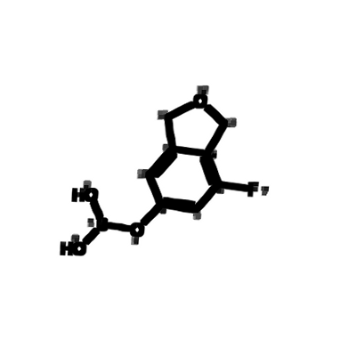 OB(O)Oc1cc(F)c2c(c1)COC2